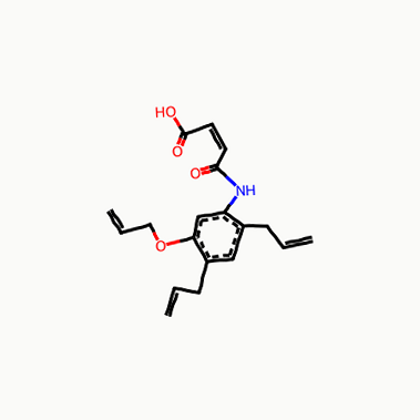 C=CCOc1cc(NC(=O)/C=C\C(=O)O)c(CC=C)cc1CC=C